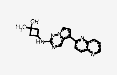 CC1(O)CC(Nc2ncc3c(-c4ccc5ncccc5n4)ccn3n2)C1